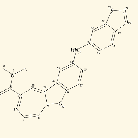 CN(C)C(=O)C1=CC=CC2Oc3ccc(Nc4ccc5ccsc5c4)cc3C2=C1